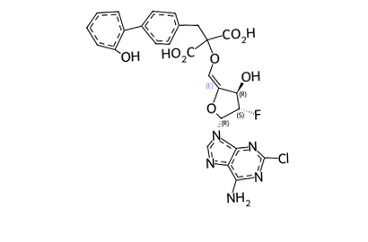 Nc1nc(Cl)nc2c1ncn2[C@@H]1O/C(=C/OC(Cc2ccc(-c3ccccc3O)cc2)(C(=O)O)C(=O)O)[C@@H](O)[C@@H]1F